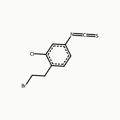 S=C=Nc1ccc(CCBr)c(Cl)c1